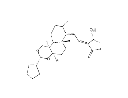 CC1CCC2[C@]3(C)CO[C@@H](C4CCCC4)O[C@@H]3CC[C@@]2(C)[C@@H]1C/C=C1/C(=O)OC[C@H]1O